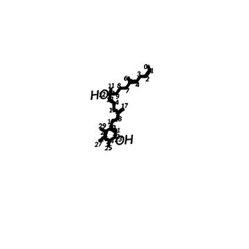 C/C=C\C/C=C(\C)CCCC(C)(O)CCCC(C)CCC1=CC(O)C(C)C(C)=C1C